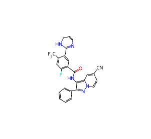 N#Cc1ccn2nc(-c3ccccc3)c(NC(=O)c3cc(C4=NC=CCN4)c(C(F)(F)F)cc3F)c2c1